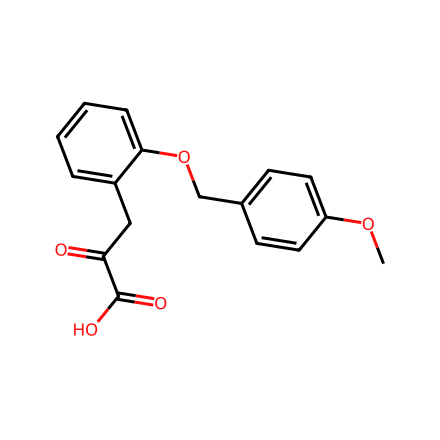 COc1ccc(COc2ccccc2CC(=O)C(=O)O)cc1